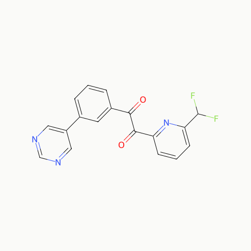 O=C(C(=O)c1cccc(C(F)F)n1)c1cccc(-c2cncnc2)c1